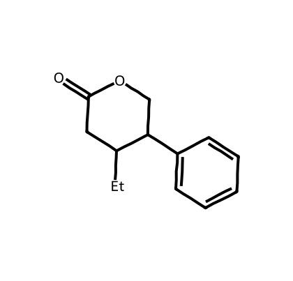 CCC1CC(=O)OCC1c1ccccc1